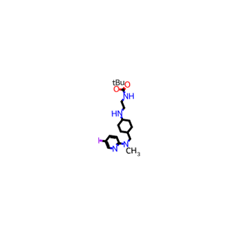 CN(CC1CCC(NCCNC(=O)OC(C)(C)C)CC1)c1ccc(I)cn1